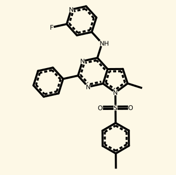 Cc1ccc(S(=O)(=O)n2c(C)cc3c(Nc4ccnc(F)c4)nc(-c4ccccc4)nc32)cc1